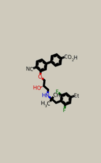 CCc1cc(F)c(CC(C)(C)NC[C@H](O)COc2cc(-c3ccc(C(=O)O)cc3)ccc2C#N)c(F)c1